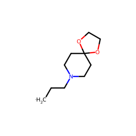 [CH2]CCN1CCC2(CC1)OCCO2